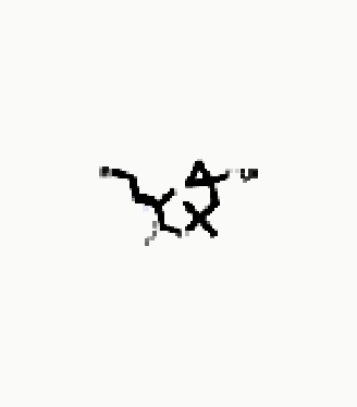 C/C(=C\CC(C)C)[C@@H](C)OC(C)(C)CC1(C(=O)O)CC1